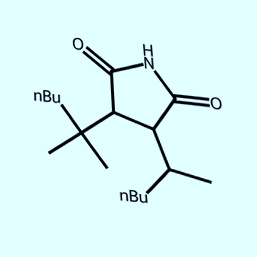 CCCCC(C)C1C(=O)NC(=O)C1C(C)(C)CCCC